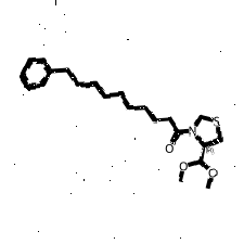 COC(OC)[C@@H]1CSCN1C(=O)CCCCCCCCCc1ccccc1